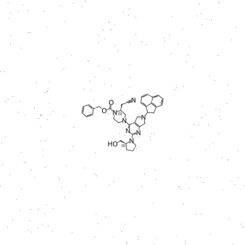 N#CC[C@H]1CN(c2nc(N3CCC[C@H]3CO)nc3c2CN(C2Cc4cccc5cccc2c45)C3)CCN1C(=O)OCc1ccccc1